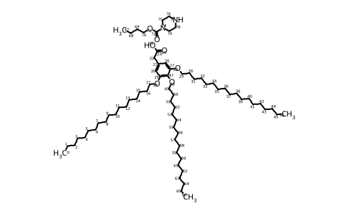 CCCCCCCCCCCCCCCCCCOc1cc(CC(=O)O)cc(OCCCCCCCCCCCCCCCCCC)c1OCCCCCCCCCCCCCCCCCC.CCCCOC(=O)N1CCNCC1